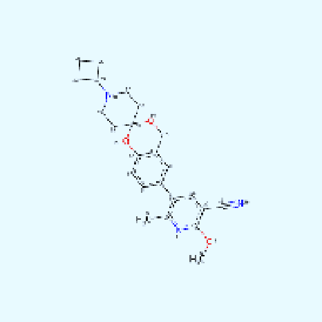 COc1nc(C)c(-c2ccc3c(c2)COC2(CCN(C4CCC4)CC2)O3)cc1C#N